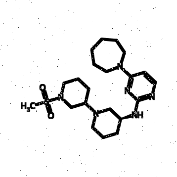 CS(=O)(=O)N1CCCC(N2CCC[C@H](Nc3nccc(N4CCCCCC4)n3)C2)C1